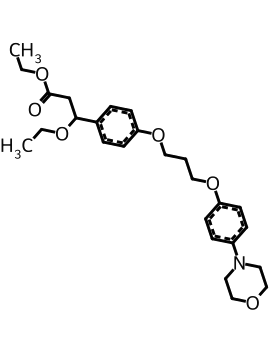 CCOC(=O)CC(OCC)c1ccc(OCCCOc2ccc(N3CCOCC3)cc2)cc1